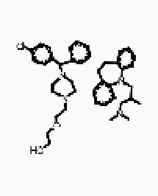 CC(CN(C)C)CN1c2ccccc2CCc2ccccc21.OCCOCCN1CCN(C(c2ccccc2)c2ccc(Cl)cc2)CC1